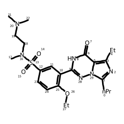 CCCc1nc(CC)c2c(=O)[nH]c(-c3cc(S(=O)(=O)N(C)CCN(C)C)ccc3OCC)nn12